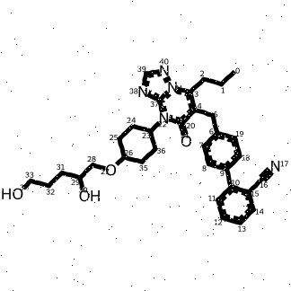 CCCc1c(Cc2ccc(-c3ccccc3C#N)cc2)c(=O)n(C2CCC(OCC(O)CCCO)CC2)c2ncnn12